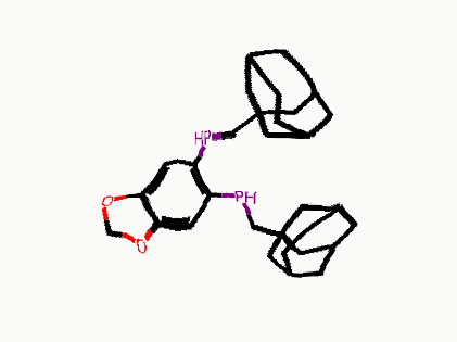 c1c2c(cc(PCC34CC5CC(CC(C5)C3)C4)c1PCC13CC4CC(CC(C4)C1)C3)OCO2